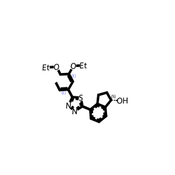 C/C=C(\C=C(/COCC)OCC)c1nnc(-c2cccc3c2CC[C@@H]3O)s1